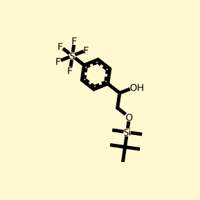 CC(C)(C)[Si](C)(C)OCC(O)c1ccc(S(F)(F)(F)(F)F)cc1